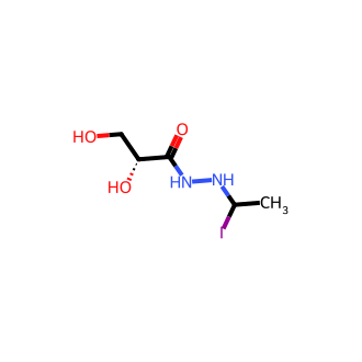 CC(I)NNC(=O)[C@H](O)CO